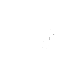 O=C1NC(=O)/C(=C/c2ccc(OC(=O)C3CCCC3)cc2)S1